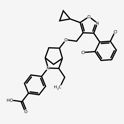 CCC1C2CC(CC2OCc2c(-c3c(Cl)cccc3Cl)noc2C2CC2)N1c1ccc(C(=O)O)cc1